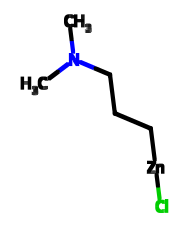 CN(C)CC[CH2][Zn][Cl]